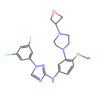 CC(C)Oc1ccc(Nc2ncn(-c3cc(F)cc(F)c3)n2)cc1N1CCN(C2COC2)CC1